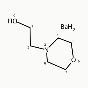 OCCN1CCOCC1.[BaH2]